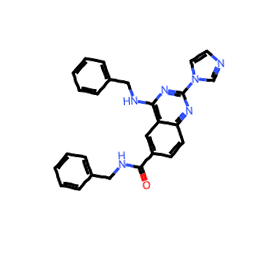 O=C(NCc1ccccc1)c1ccc2nc(-n3ccnc3)nc(NCc3ccccc3)c2c1